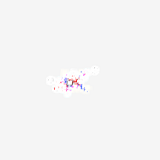 CC([C@@H]1CC[C@@H](N=[N+]=[N-])[C@@H](O[C@@H]2[C@@H](NC(=O)OCc3ccccc3)[C@H](O)[C@@H](NC(=O)OCc3ccccc3)[C@@H]3OC4(CCCCC4)O[C@@H]23)O1)N(C)C(=O)OCc1ccccc1